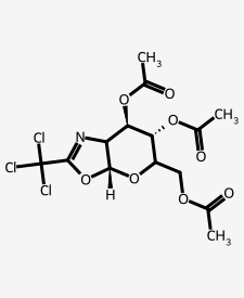 CC(=O)OCC1O[C@@H]2OC(C(Cl)(Cl)Cl)=NC2[C@@H](OC(C)=O)[C@@H]1OC(C)=O